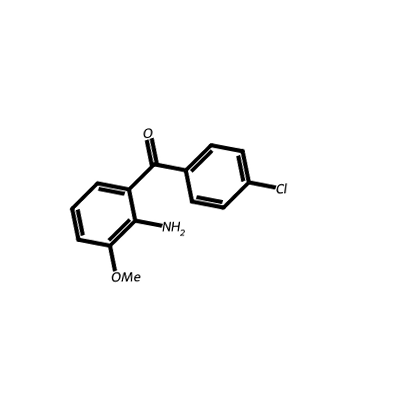 COc1cccc(C(=O)c2ccc(Cl)cc2)c1N